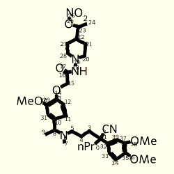 CCCC(C#N)(CCCN(C)C(C)c1ccc(OCC(=O)NN2CCC(C(C)O[N+](=O)[O-])CC2)c(OC)c1)c1ccc(OC)c(OC)c1